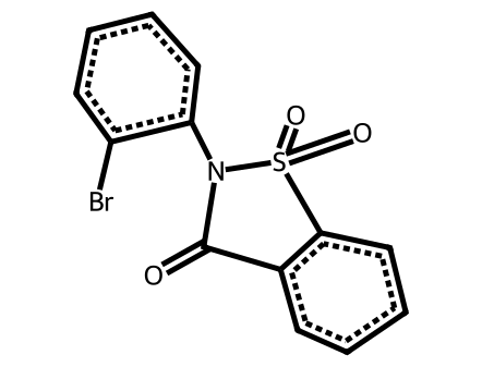 O=C1c2ccccc2S(=O)(=O)N1c1ccccc1Br